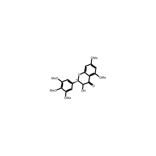 COc1cc(OC)c2c(c1)O[C@H](c1cc(OC)c(OC)c(OC)c1)C(O)C2=O